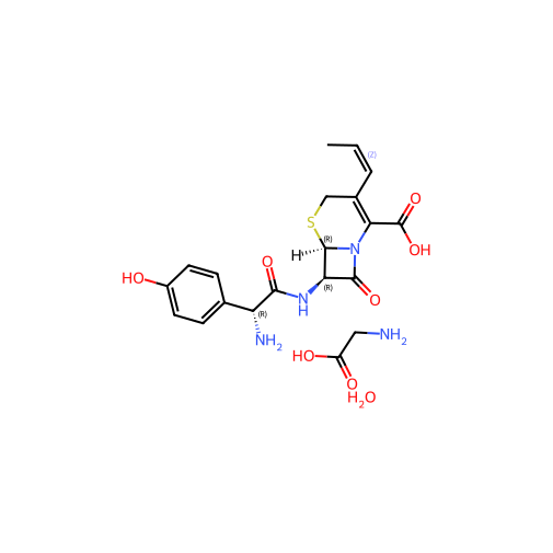 C/C=C\C1=C(C(=O)O)N2C(=O)[C@@H](NC(=O)[C@H](N)c3ccc(O)cc3)[C@H]2SC1.NCC(=O)O.O